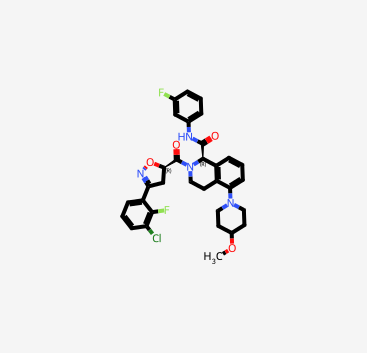 COC1CCN(c2cccc3c2CCN(C(=O)[C@H]2CC(c4cccc(Cl)c4F)=NO2)[C@H]3C(=O)Nc2cccc(F)c2)CC1